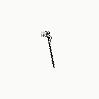 CCCCCCCCCCCCCCCCCCOCC(COP(=O)(O)O)OC